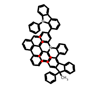 CC1(c2ccccc2)c2ccccc2-c2c(-c3ccccc3N(c3cccc(-c4cccc5c6ccccc6n(-c6ccccc6)c45)c3)c3ccccc3-c3cccc4cccc(-c5ccccc5)c34)cccc21